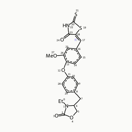 CCN1C(=O)OCC1Cc1ccc(Oc2ccc(/C=C3/SC(=S)NC3=O)cc2OC)cc1